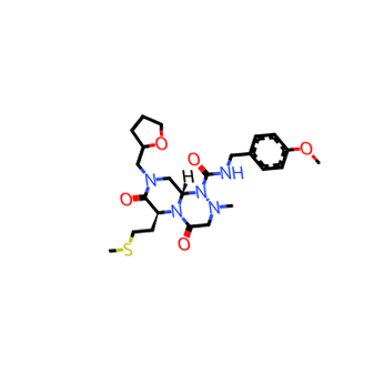 COc1ccc(CNC(=O)N2[C@H]3CN(CC4CCCO4)C(=O)[C@H](CCSC)N3C(=O)CN2C)cc1